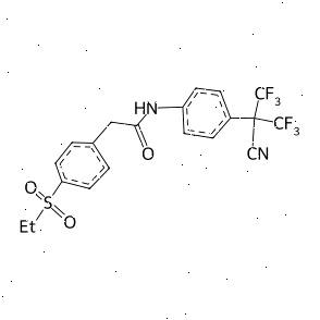 CCS(=O)(=O)c1ccc(CC(=O)Nc2ccc(C(C#N)(C(F)(F)F)C(F)(F)F)cc2)cc1